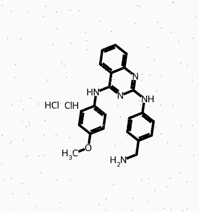 COc1ccc(Nc2nc(Nc3ccc(CN)cc3)nc3ccccc23)cc1.Cl.Cl